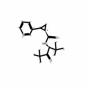 CC(C)(C)C(=O)[C@@H](NC(=O)[C@@H]1CC1c1cccnc1)C(C)(C)C